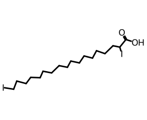 O=C(O)C(I)CCCCCCCCCCCCCCCCI